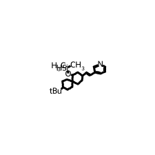 C[SiH](C)OC1CC(C=Cc2cccnc2)CCC12CCC(C(C)(C)C)CC2